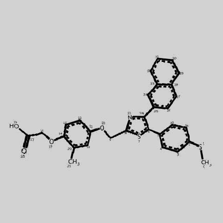 CSc1ccc(-c2sc(COc3ccc(OCC(=O)O)c(C)c3)nc2-c2ccc3ccccc3c2)cc1